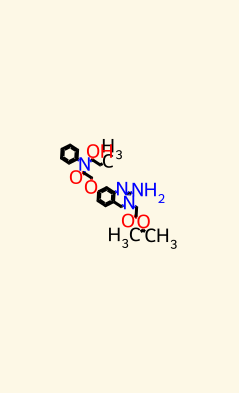 CCC(O)N(C(=O)COc1ccc2c(c1)N=C(N)N(CC(=O)OC(C)C)C2)c1ccccc1